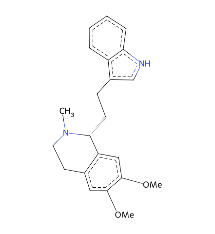 COc1cc2c(cc1OC)[C@@H](CCc1c[nH]c3ccccc13)N(C)CC2